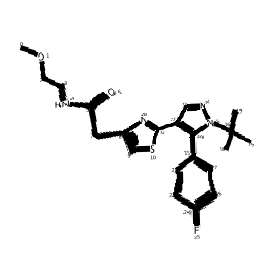 COCCNC(=O)Cc1csc(-c2cnn(C(C)(C)C)c2-c2ccc(F)cc2)n1